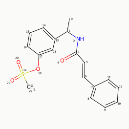 CC(NC(=O)C=Cc1ccccc1)c1cccc(OS(=O)(=O)C(F)(F)F)c1